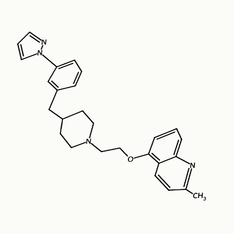 Cc1ccc2c(OCCN3CCC(Cc4cccc(-n5cccn5)c4)CC3)cccc2n1